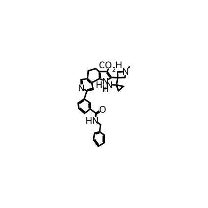 CN1CC(c2[nH]c3c(c2C(=O)O)CCc2cnc(-c4cccc(C(=O)NCc5ccccc5)c4)cc2-3)(C2(N)CC2)C1